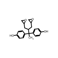 CC(c1ccc(O)cc1)(c1ccc(O)cc1)C(CC1CO1)CC1CO1